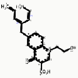 C=C/C=C(\C=C/N)Cc1ccc2c(c1)c(=O)c(C(=O)O)cn2CCO